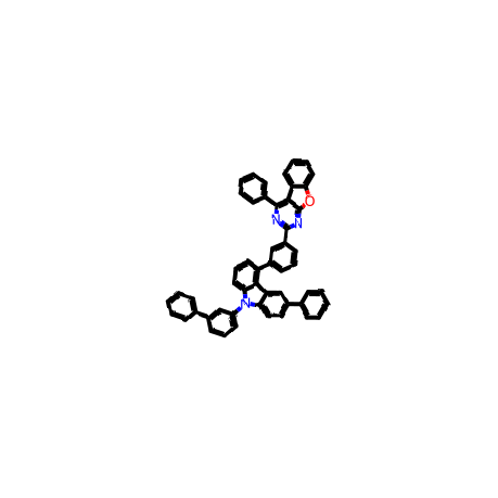 c1ccc(-c2cccc(-n3c4ccc(-c5ccccc5)cc4c4c(-c5cccc(-c6nc(-c7ccccc7)c7c(n6)oc6ccccc67)c5)cccc43)c2)cc1